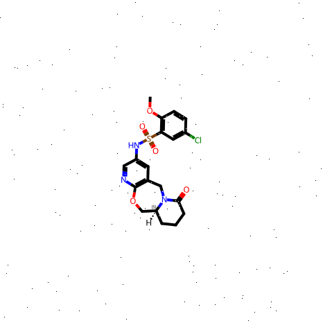 COc1ccc(Cl)cc1S(=O)(=O)Nc1cnc2c(c1)CN1C(=O)CCC[C@H]1CO2